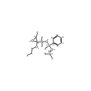 CCCOC1([Si](C)(C)O[Si](C)(O[SiH](C)C)c2ccccc2)OC1C